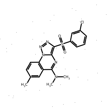 Cc1ccc2c(c1)c(N(C)C)nc1c(S(=O)(=O)c3cccc(Cl)c3)nnn12